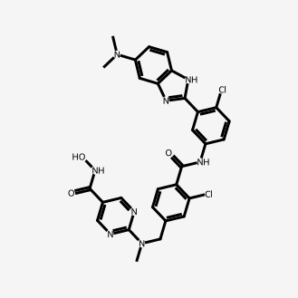 CN(C)c1ccc2[nH]c(-c3cc(NC(=O)c4ccc(CN(C)c5ncc(C(=O)NO)cn5)cc4Cl)ccc3Cl)nc2c1